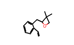 C=Cc1ccccc1CC1OCC1(C)C